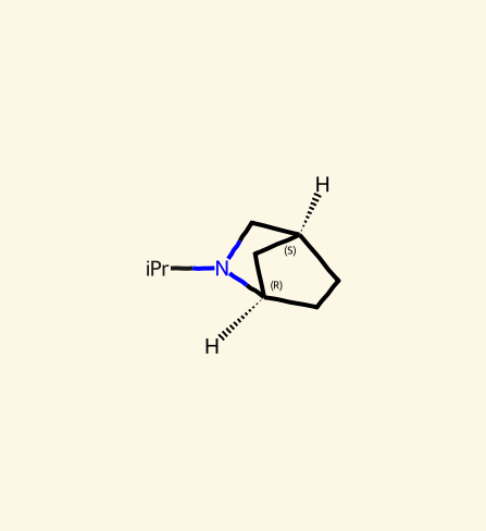 CC(C)N1C[C@H]2CC[C@@H]1C2